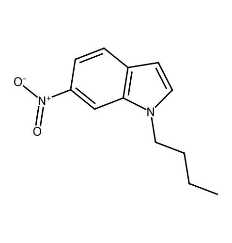 CCCCn1ccc2ccc([N+](=O)[O-])cc21